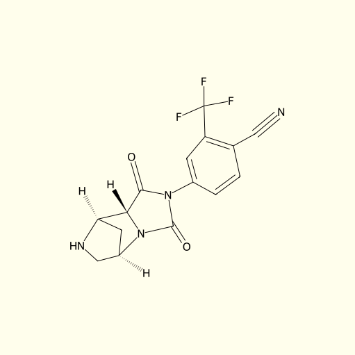 N#Cc1ccc(N2C(=O)[C@H]3[C@H]4C[C@H](CN4)N3C2=O)cc1C(F)(F)F